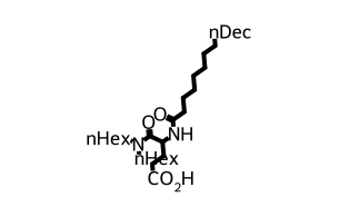 CCCCCCCCCCCCCCCCCC(=O)NC(CCC(=O)O)C(=O)N(CCCCCC)CCCCCC